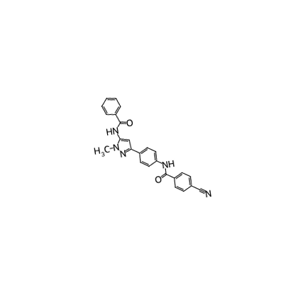 Cn1nc(-c2ccc(NC(=O)c3ccc(C#N)cc3)cc2)cc1NC(=O)c1ccccc1